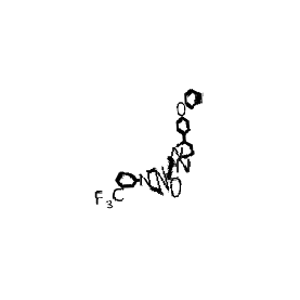 O=C(c1cn2c(n1)CCC(c1ccc(Oc3ccccc3)cc1)C2)N1CCN(c2cccc(C(F)(F)F)c2)CC1